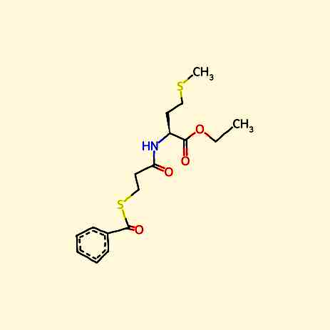 CCOC(=O)[C@H](CCSC)NC(=O)CCSC(=O)c1ccccc1